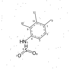 Cc1ccc(N[SH](=O)=O)c(C)c1C